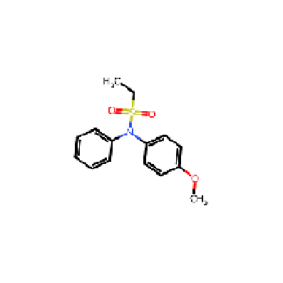 CCS(=O)(=O)N(c1ccccc1)c1ccc(OC)cc1